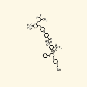 C=C(CCC1=C(CN2CCN(c3ccc(C(=O)NS(=O)(=O)c4ccc(N[C@H](CCN5CCN(CCO)CC5)CSc5ccccc5)c(S(=O)(=O)C(F)(F)F)c4)cc3)CC2)CCC(C)(C)C1)C(F)F